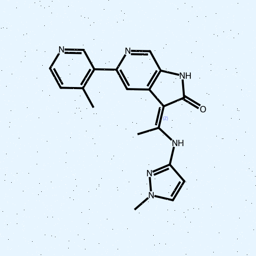 C/C(Nc1ccn(C)n1)=C1/C(=O)Nc2cnc(-c3cnccc3C)cc21